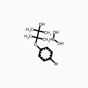 CC(C)(O)C(C)(C)Oc1ccc(Br)cc1.OBO